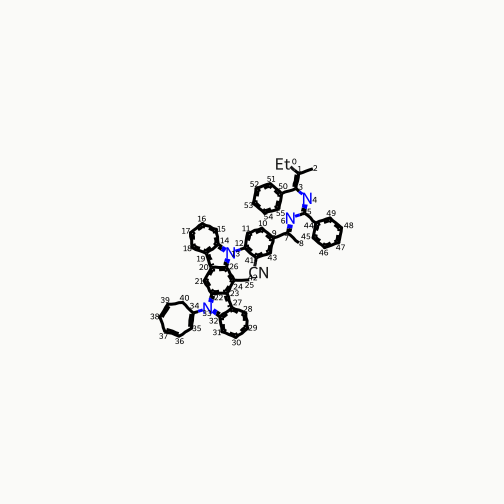 CC/C(C)=C(/N=C(\N=C(/C)c1ccc(-n2c3ccccc3c3cc4c(c(C)c32)c2ccccc2n4C2=CC=CC=CC2)c(C#N)c1)c1ccccc1)c1ccccc1